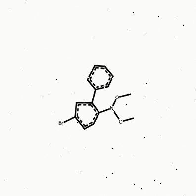 CON(OC)c1ccc(Br)cc1-c1ccccc1